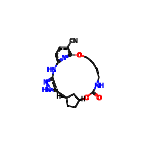 N#Cc1ccc2nc1OCCCCNC(=O)O[C@@H]1CC[C@@H](C1)c1cc(n[nH]1)N2